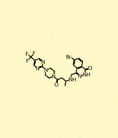 CC(CC(=O)N1CCN(c2ncc(C(F)(F)F)cn2)CC1)NCc1n[nH]c(=O)c2ccc(Br)cc12